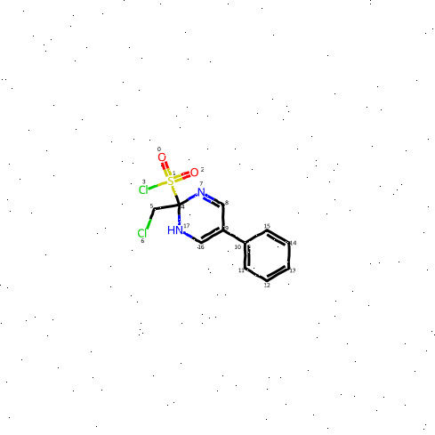 O=S(=O)(Cl)C1(CCl)N=CC(c2ccccc2)=CN1